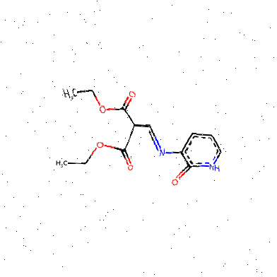 CCOC(=O)C(C=Nc1ccc[nH]c1=O)C(=O)OCC